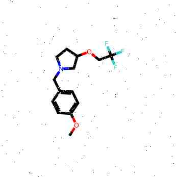 COc1ccc(CN2CCC(OCC(F)(F)F)C2)cc1